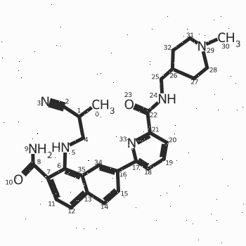 CC(C#N)CNc1c(C(N)=O)ccc2ccc(-c3cccc(C(=O)NCC4CCN(C)CC4)n3)cc12